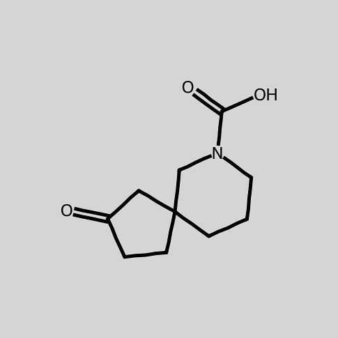 O=C1CCC2(CCCN(C(=O)O)C2)C1